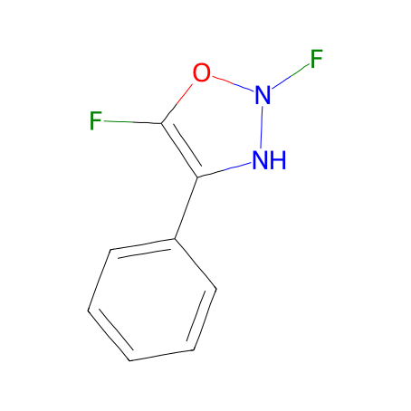 FC1=C(c2ccccc2)NN(F)O1